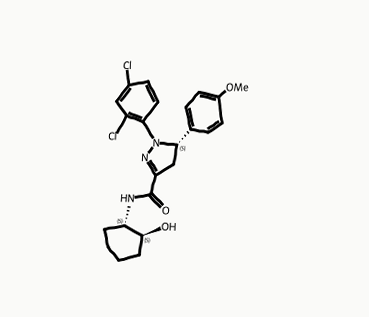 COc1ccc([C@@H]2CC(C(=O)N[C@H]3CCCC[C@@H]3O)=NN2c2ccc(Cl)cc2Cl)cc1